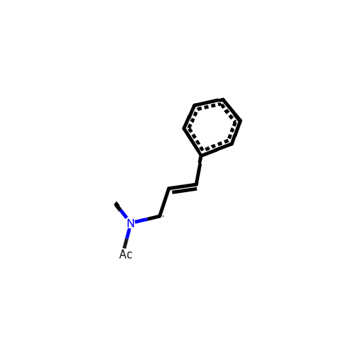 CC(=O)N(C)[CH]/C=C/c1ccccc1